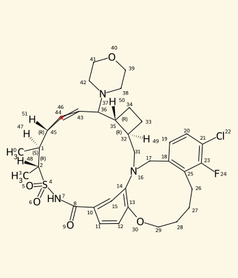 C[C@@H]1[C@@H](C)S(=O)(=O)NC(=O)c2ccc3c(c2)N(Cc2ccc(Cl)c(F)c2CCCCO3)C[C@@H]2CC[C@H]2C(N2CCOCC2)C2=C[C@H]1C2